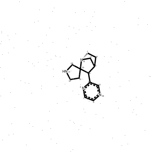 c1cnc(C2C3CC[N@](C3)C23CCNC3)cn1